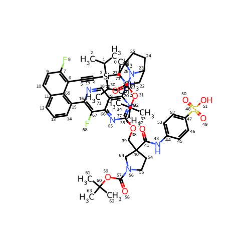 CC(C)[Si](C#Cc1c(F)ccc2cccc(-c3ncc4c(N5CC6CCC(C5)N6C(=O)OC(C)(C)C)nc(OCC5(C(=O)Nc6ccc(S(=O)(=O)O)cc6)CCN(C(=O)OC(C)(C)C)C5)nc4c3F)c12)(C(C)C)C(C)C